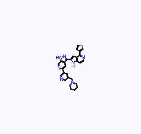 c1cc2[nH]c(-c3n[nH]c4cnc(-c5cncc(CN6CCCCC6)c5)cc34)cc2c(-c2ccsc2)n1